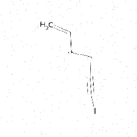 C=C[CH]CC#CI